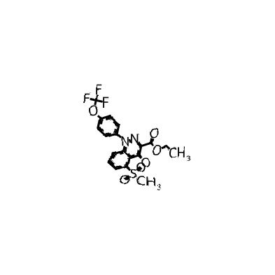 CCOC(=O)c1nn(-c2ccc(OC(F)(F)F)cc2)c2cccc(S(C)(=O)=O)c2c1=O